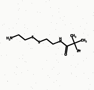 CC(C)C(C)(C)C(=O)NCCSSCCN